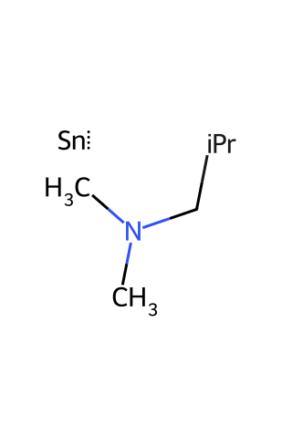 CC(C)CN(C)C.[Sn]